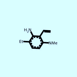 C=Cc1c(NC)ccc(CC)c1N